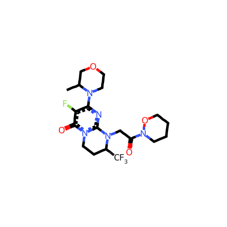 CC1COCCN1c1nc2n(c(=O)c1F)CCC(C(F)(F)F)N2CC(=O)N1CCCCO1